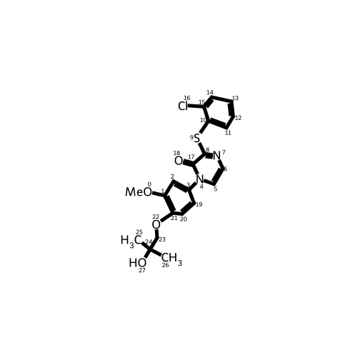 COc1cc(-n2ccnc(Sc3ccccc3Cl)c2=O)ccc1OCC(C)(C)O